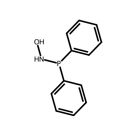 ONP(c1ccccc1)c1ccccc1